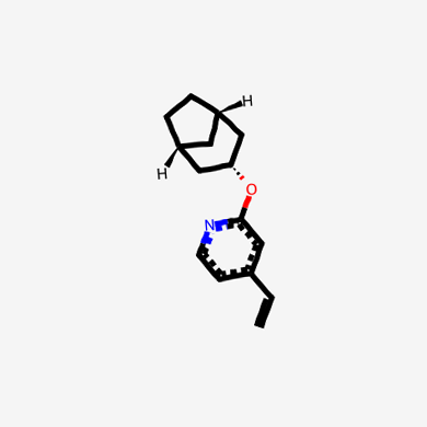 C=Cc1ccnc(O[C@@H]2C[C@@H]3CC[C@@H](C3)C2)c1